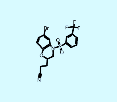 N#CCCC1CN(S(=O)(=O)c2cccc(C(F)(F)F)c2)c2cc(Br)ccc2O1